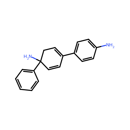 Nc1ccc(C2=CCC(N)(c3ccccc3)C=C2)cc1